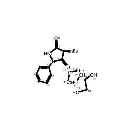 CCCCC1C(=O)NN(c2ccccc2)C1=O.CCOCC.CO.OCCO